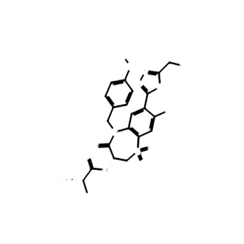 CN[C@@H](C)C(=O)N[C@H]1CS(=O)(=O)c2cc(F)c(-c3nnc(CC(F)(F)F)o3)cc2N(Cc2ccc(OC(F)(F)F)cc2)C1=O